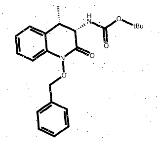 C[C@H]1c2ccccc2N(OCc2ccccc2)C(=O)[C@H]1NC(=O)OC(C)(C)C